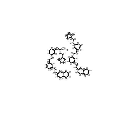 CC(CCc1nnn[nH]1)Oc1cccc(CCc2cccc(SCc3ccc4ccccc4n3)c2)c1.c1cc(CCc2cccc(OCc3ccc4ccccc4n3)c2)cc(CCc2nnn[nH]2)c1